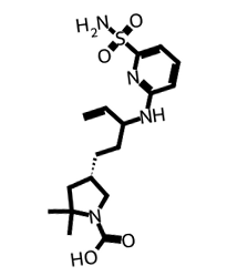 C=CC(CC[C@@H]1CN(C(=O)O)C(C)(C)C1)Nc1cccc(S(N)(=O)=O)n1